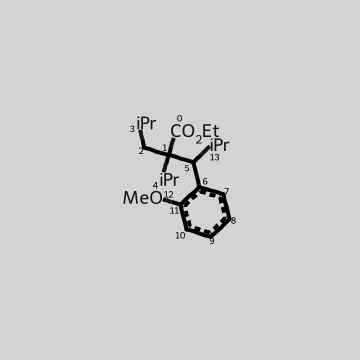 CCOC(=O)C(CC(C)C)(C(C)C)C(c1ccccc1OC)C(C)C